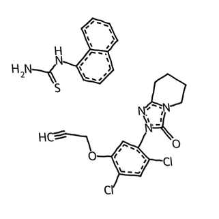 C#CCOc1cc(-n2nc3n(c2=O)CCCC3)c(Cl)cc1Cl.NC(=S)Nc1cccc2ccccc12